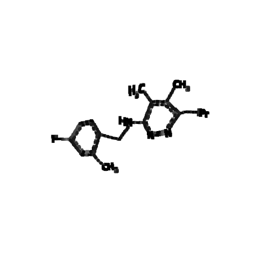 Cc1cc(F)ccc1CNc1nnc(C(C)C)c(C)c1C